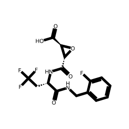 O=C(NCc1ccccc1F)[C@H](CC(F)(F)F)NC(=O)[C@H]1O[C@@H]1C(=O)O